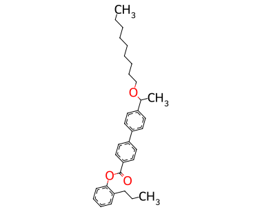 CCCCCCCCCOC(C)c1ccc(-c2ccc(C(=O)Oc3ccccc3CCC)cc2)cc1